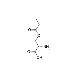 CCC(=O)OC[C@H](N)C(=O)O